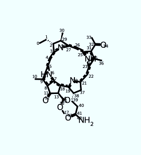 CC[C@H]1c2cc3[nH]c4c(c3C)C(=O)C(C(=O)OC)c4c3nc(cc4[nH]c(cc(n2)[C@@H]1C)c(C(C)=O)c4C)C[C@@H]3CCC(N)=O